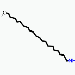 CCCCCCCCC=CCCCCCCCCC=CCN